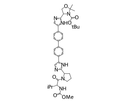 COC(=O)NC(C(=O)N1CCCC1c1ncc(-c2ccc(-c3ccc(-c4cnc(C5COC(C)(C)N5C(=O)OC(C)(C)C)[nH]4)cc3)cc2)[nH]1)C(C)C